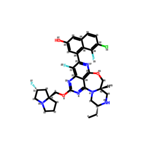 CC[C@@H]1CN2c3nc(OC[C@@]45CCCN4C[C@H](F)C5)nc4c(F)c(-c5cc(O)cc6ccc(Cl)c(F)c56)nc(c34)OC[C@@H]2CN1